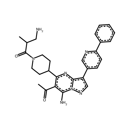 CC(=O)c1c(C2CCN(C(=O)C(C)CN)CC2)nc2c(-c3ccc(-c4ccccc4)nc3)cnn2c1N